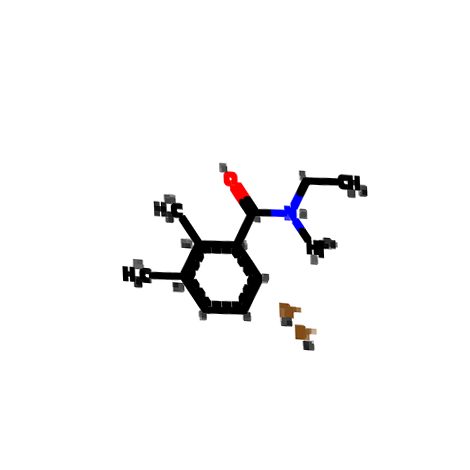 CC[N]([Hf+2])C(=O)c1cccc(C)c1C.[Br-].[Br-]